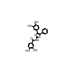 O=C(Nc1nc(-c2ccc(O)c(O)c2)c(-c2ccccc2)s1)c1ccc(O)c(O)c1